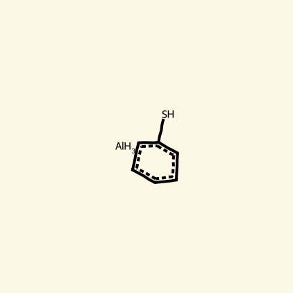 Sc1ccccc1.[AlH3]